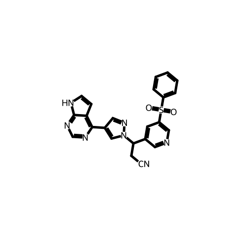 N#CCC(c1cncc(S(=O)(=O)c2ccccc2)c1)n1cc(-c2ncnc3[nH]ccc23)cn1